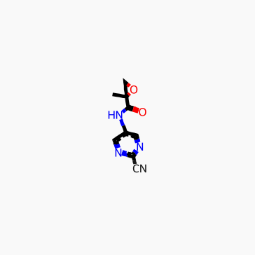 CC1(C(=O)Nc2cnc(C#N)nc2)CO1